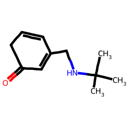 CC(C)(C)NCC1=CC(=O)CC=C1